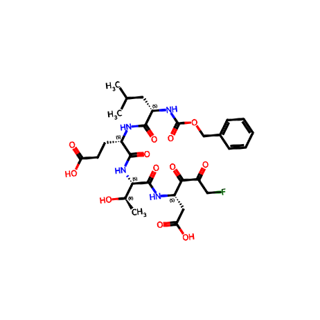 CC(C)C[C@H](NC(=O)OCc1ccccc1)C(=O)N[C@@H](CCC(=O)O)C(=O)N[C@H](C(=O)N[C@@H](CC(=O)O)C(=O)C(=O)CF)[C@@H](C)O